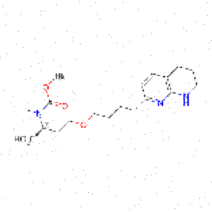 CN(C(=O)OC(C)(C)C)[C@@H](CCOCCCCc1ccc2c(n1)NCCC2)C(=O)O